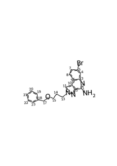 Nc1nc2cc(Br)ccc2c2cn(CCCOCc3ccccc3)nc12